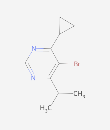 CC(C)c1ncnc(C2CC2)c1Br